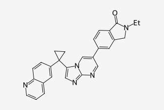 CCN1Cc2cc(-c3cnc4ncc(C5(c6ccc7ncccc7c6)CC5)n4c3)ccc2C1=O